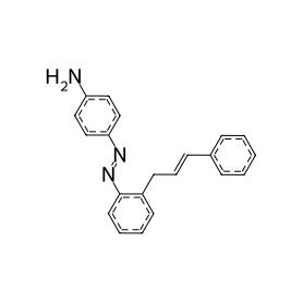 Nc1ccc(N=Nc2ccccc2CC=Cc2ccccc2)cc1